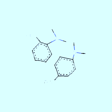 CN(C)c1ccc(C=O)cc1.CN(C)c1ccccc1C=O